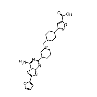 Nc1nc(N2CCC[C@@H](CN3CCC(c4cc(C(=O)O)on4)CC3)C2)nc2nc(-c3ccco3)nn12